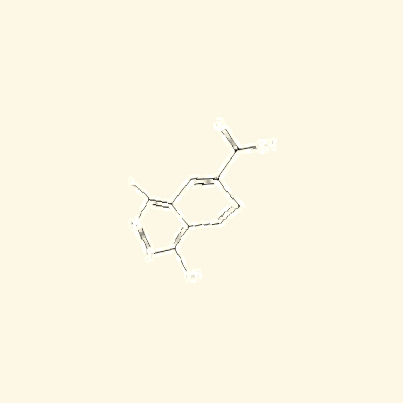 O=C(O)c1ccc2c(O)nnc(I)c2c1